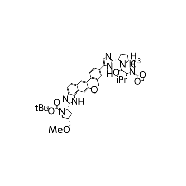 COC[C@H]1C[C@@H](c2nc3ccc4cc5c(cc4c3[nH]2)OCc2cc(-c3cnc([C@@H]4CC[C@H](C)N4C(=O)[C@@H](NC4OCO4)C(C)C)[nH]3)ccc2-5)N(C(=O)OC(C)(C)C)C1